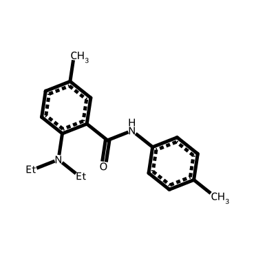 CCN(CC)c1ccc(C)cc1C(=O)Nc1ccc(C)cc1